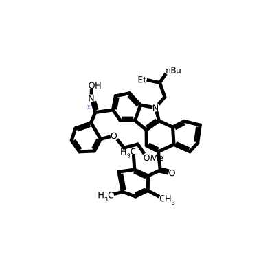 CCCCC(CC)Cn1c2ccc(/C(=N\O)c3ccccc3OCCOC)cc2c2cc(C(=O)c3c(C)cc(C)cc3C)c3ccccc3c21